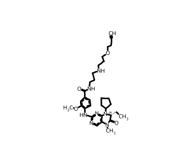 C#CCCOCCCNCCCNC(=O)c1ccc(Nc2ncc3c(n2)N(C2CCCC2)[C@H](CC)C(=O)N3C)c(OC)c1